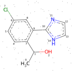 CC(O)c1ccc(Cl)cc1-c1ncc[nH]1